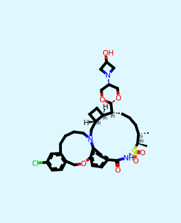 C[C@@H]1[C@@H](C)CCC[C@@H]([C@H]2OC[C@@H](N3CC(O)C3)CO2)[C@@H]2CC[C@H]2CN2CCCCc3cc(Cl)ccc3COc3ccc(cc32)C(=O)NS1(=O)=O